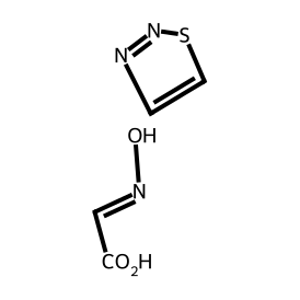 O=C(O)C=NO.c1csnn1